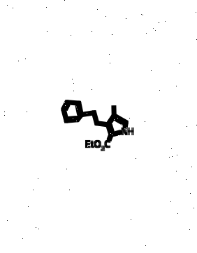 CCOC(=O)c1[nH]cc(C)c1CCc1ccccc1